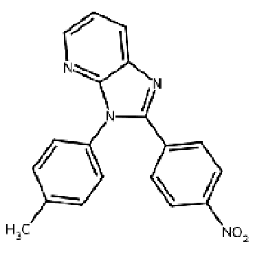 Cc1ccc(-n2c(-c3ccc([N+](=O)[O-])cc3)nc3cccnc32)cc1